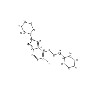 Ic1ccc2nn(C3CCCCO3)cc2c1CCOC1CCCCO1